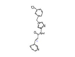 O=C(/C=C/c1cccnc1)Nc1cn(Cc2cccc(Cl)c2)cn1